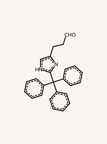 O=[C]CCc1c[nH]c(C(c2ccccc2)(c2ccccc2)c2ccccc2)n1